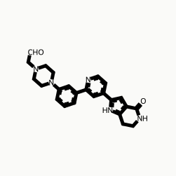 O=CCN1CCN(c2cccc(-c3cc(-c4cc5c([nH]4)CCNC5=O)ccn3)c2)CC1